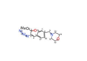 COC(=O)/C(=C\c1ccc(CN2CCOCC2)cc1)N=[N+]=[N-]